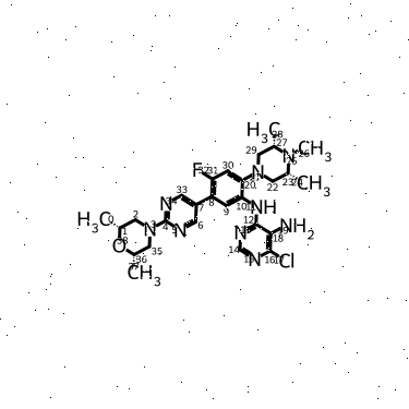 C[C@@H]1CN(c2ncc(-c3cc(Nc4ncnc(Cl)c4N)c(N4C[C@@H](C)N(C)[C@@H](C)C4)cc3F)cn2)C[C@H](C)O1